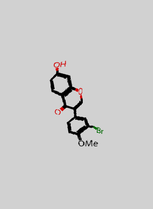 COc1ccc(-c2coc3cc(O)ccc3c2=O)cc1Br